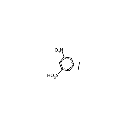 CC.O=[N+]([O-])c1cccc(S(=O)(=O)O)c1